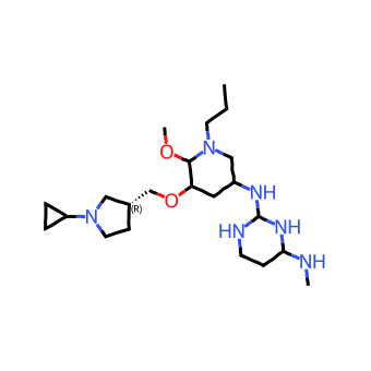 CCCN1CC(NC2NCCC(NC)N2)CC(OC[C@@H]2CCN(C3CC3)C2)C1OC